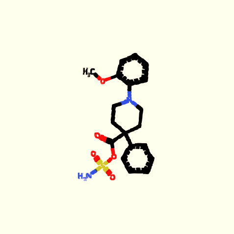 COc1ccccc1N1CCC(C(=O)OS(N)(=O)=O)(c2ccccc2)CC1